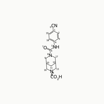 N#Cc1ccc(NC(=O)N2CC3CC(CN(C(=O)O)C3)C2)cc1